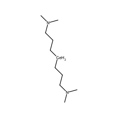 CN(C)CC[CH2][GeH2][CH2]CCN(C)C